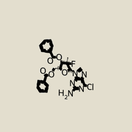 C[C@@]1(F)[C@H](OC(=O)c2ccccc2)[C@@H](COC(=O)c2ccccc2)O[C@@H]1n1cnc2c(Cl)nc(N)nc21